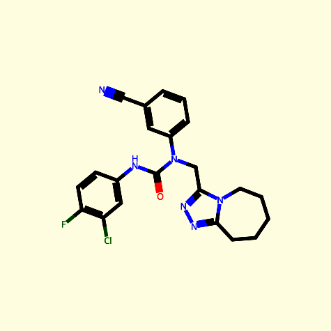 N#Cc1cccc(N(Cc2nnc3n2CCCCC3)C(=O)Nc2ccc(F)c(Cl)c2)c1